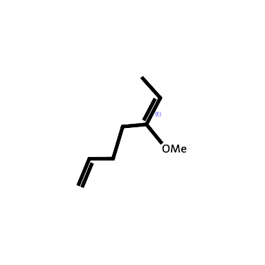 C=CCC/C(=C\C)OC